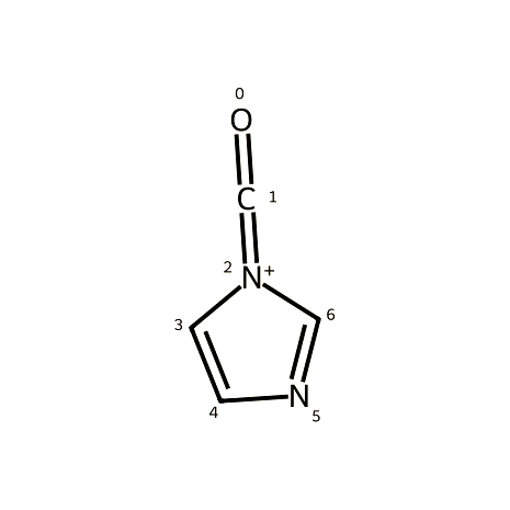 O=C=[N+]1C=CN=C1